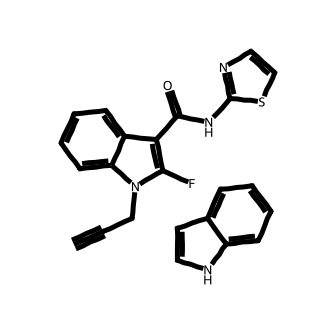 C#CCn1c(F)c(C(=O)Nc2nccs2)c2ccccc21.c1ccc2[nH]ccc2c1